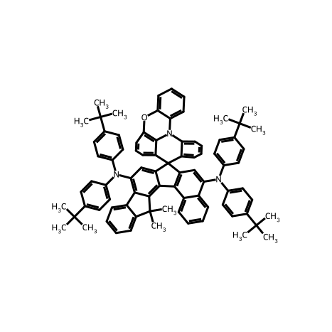 CC(C)(C)c1ccc(N(c2ccc(C(C)(C)C)cc2)c2cc3c(c4c2-c2ccccc2C4(C)C)-c2c(cc(N(c4ccc(C(C)(C)C)cc4)c4ccc(C(C)(C)C)cc4)c4ccccc24)C32c3ccccc3N3c4ccccc4Oc4cccc2c43)cc1